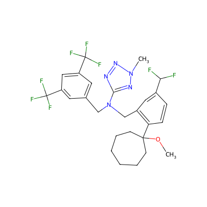 COC1(c2ccc(C(F)F)cc2CN(Cc2cc(C(F)(F)F)cc(C(F)(F)F)c2)c2nnn(C)n2)CCCCCC1